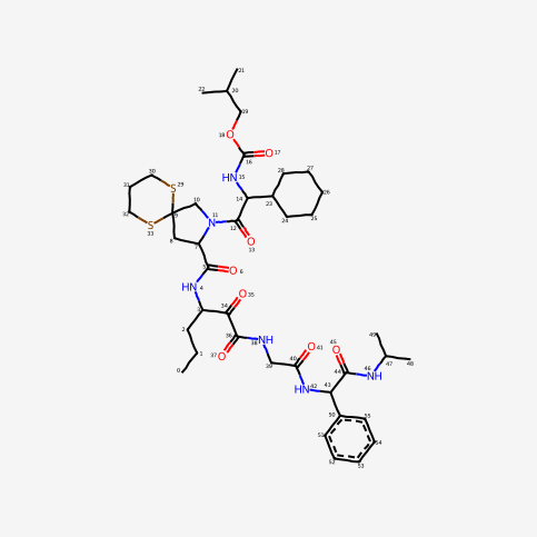 CCCC(NC(=O)C1CC2(CN1C(=O)C(NC(=O)OCC(C)C)C1CCCCC1)SCCCS2)C(=O)C(=O)NCC(=O)NC(C(=O)NC(C)C)c1ccccc1